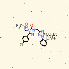 CCOC(=O)c1nc(Cn2nc(-c3ccc(Cl)cc3)n(CC(O)C(F)(F)F)c2=O)nn1-c1ccccc1OC